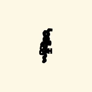 CCCCC(=O)NC(=O)CN(CC)S(=O)(=O)Cc1cccc(CC)c1